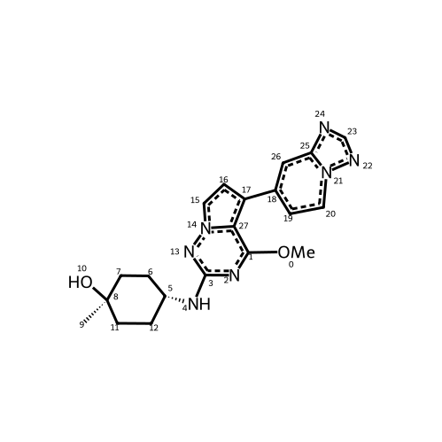 COc1nc(N[C@H]2CC[C@](C)(O)CC2)nn2ccc(-c3ccn4ncnc4c3)c12